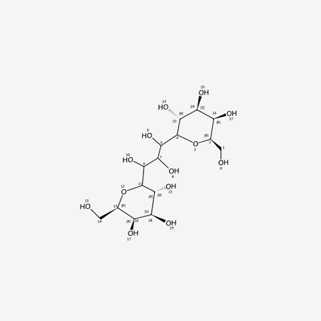 OC[C@H]1OC(C(O)C(O)C(O)C2O[C@H](CO)[C@H](O)[C@H](O)[C@H]2O)[C@H](O)[C@@H](O)[C@H]1O